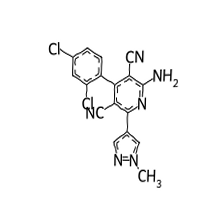 Cn1cc(-c2nc(N)c(C#N)c(-c3ccc(Cl)cc3Cl)c2C#N)cn1